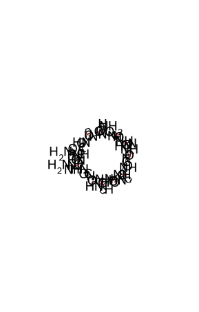 CCCC[C@H]1C(=O)N(C)CC(=O)N[C@@H](CCCNC(=N)N)C(=O)N[C@H](C(=O)NCC(N)=O)CSCC(=O)N[C@@H](Cc2ccccc2)C(=O)N(C)[C@@H](C)C(=O)N[C@@H](CC(N)=O)C(=O)N2CCC[C@H]2C(=O)N[C@@H](Cc2cnc[nH]2)C(=O)N[C@@H](CC(C)C)C(=O)N(C)CC(=O)N[C@@H](Cc2c[nH]c3ccccc23)C(=O)N[C@@H](CO)C(=O)N[C@@H](Cc2c[nH]c3ccccc23)C(=O)N1C